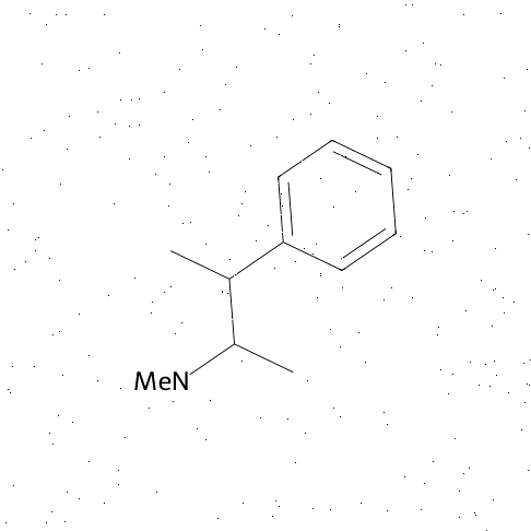 CNC(C)C(C)c1ccccc1